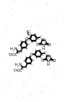 NC(Cc1ccc(Oc2ccc(C[C@@H]3SC(=O)NC3=O)cc2)cc1)C(=O)[O-].NC(Cc1ccc(Oc2ccc(C[C@@H]3SC(=O)NC3=O)cc2)cc1)C(=O)[O-].[K+].[K+]